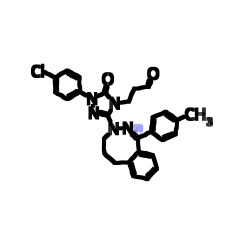 Cc1ccc(/C2=N/N(c3nn(-c4ccc(Cl)cc4)c(=O)n3CCC=O)CCCc3ccccc32)cc1